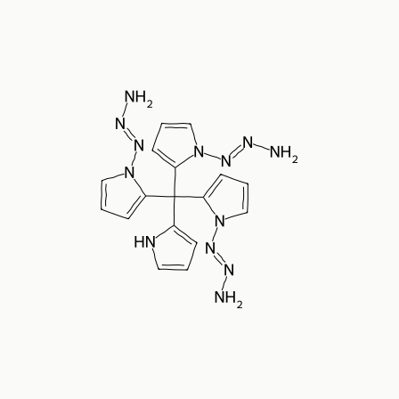 N/N=N/n1cccc1C(c1ccc[nH]1)(c1cccn1/N=N/N)c1cccn1/N=N/N